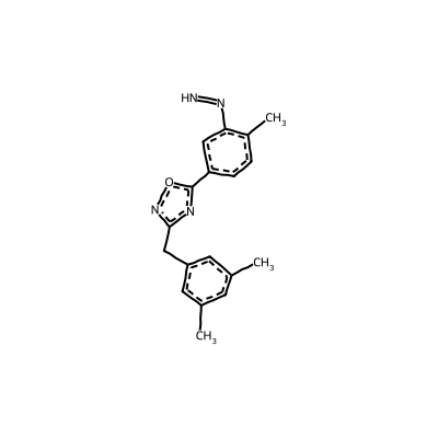 Cc1cc(C)cc(Cc2noc(-c3ccc(C)c(N=N)c3)n2)c1